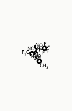 Cc1ccc(S(=O)(=O)n2cc(-c3nc(Oc4c(F)c(F)c(F)c(F)c4F)ncc3C#N)c3cc(C(F)(F)F)cnc32)cc1